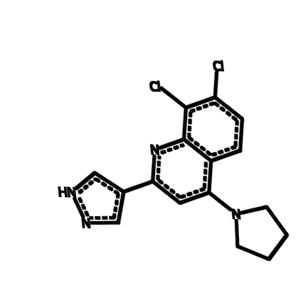 Clc1ccc2c(N3CCCC3)cc(-c3cn[nH]c3)nc2c1Cl